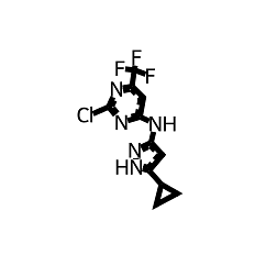 FC(F)(F)c1cc(Nc2cc(C3CC3)[nH]n2)nc(Cl)n1